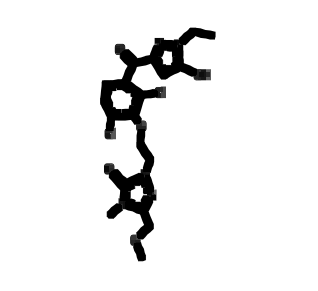 CCn1nc(C(=O)c2ccc(Cl)c(OCCn3nc(COC)n(C)c3=O)c2Cl)cc1O